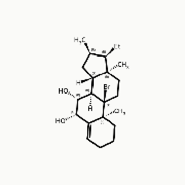 CC[C@@H]1[C@H](C)C[C@H]2[C@@H]3[C@@H](O)[C@@H](O)C4=CCCC[C@]4(C)[C@@]3(Br)CC[C@]12C